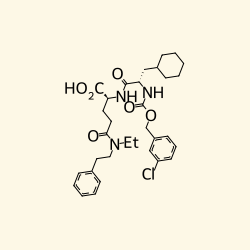 CCN(CCc1ccccc1)C(=O)CC[C@H](NC(=O)[C@H](CC1CCCCC1)NC(=O)OCc1cccc(Cl)c1)C(=O)O